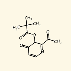 CC(=O)C1=NC=CC(=O)C1OC(=O)C(C)(C)C